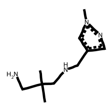 Cn1cc(CNCC(C)(C)CN)cn1